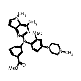 COC(=O)c1cccc(N(c2nc(N)c3c(ccn3C)n2)c2ccc(N3CCN(C)CC3)cc2OC)c1